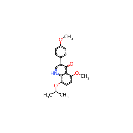 COc1ccc(-c2c[nH]c3c(OC(C)C)ccc(OC)c3c2=O)cc1